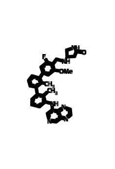 COc1cc(-c2cccc(-c3cccc(Nc4cncc5nccnc45)c3C)c2C)cc(F)c1CN[C@@H]1CNC(=O)C1